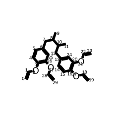 C=COc1ccc(CC(C)C(C)Cc2ccc(OC=C)c(OC=C)c2)cc1OC=C